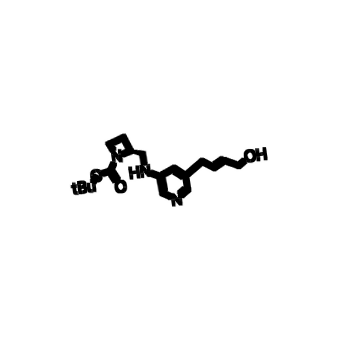 CC(C)(C)OC(=O)N1CC[C@H]1CNc1cncc(C/C=C/CO)c1